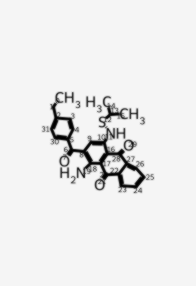 CCc1ccc(C(=O)c2cc(NSC(C)C)c3c(c2N)C(=O)c2ccccc2C3=O)cc1